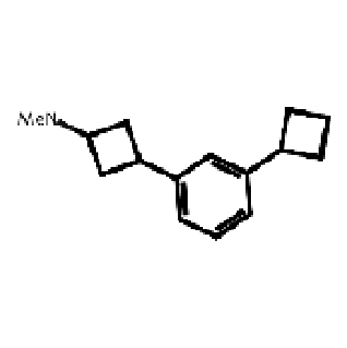 CNC1CC(c2cccc(C3CCC3)c2)C1